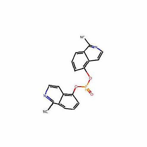 N#Cc1nccc2c(O[PH](=O)Oc3cccc4c(C#N)nccc34)cccc12